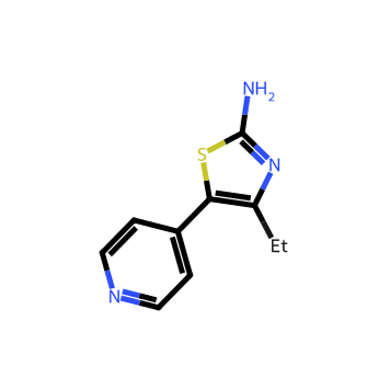 CCc1nc(N)sc1-c1ccncc1